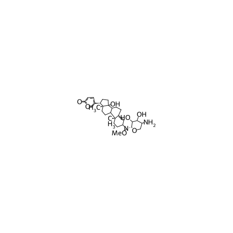 CON(C1C=C2CCC3C(CC[C@]4(C)[C@@H](c5ccc(=O)oc5)CC[C@]34O)[C@@]2(C)CC1)[C@H]1OC[C@H](N)C(O)C1O